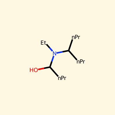 CCCC(O)N(CC)C(CCC)CCC